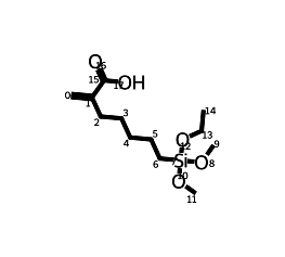 C=C(CCCCC[Si](OC)(OC)OCC)C(=O)O